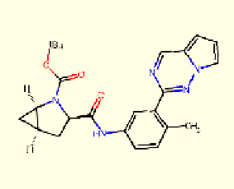 Cc1ccc(NC(=O)[C@H]2C[C@H]3C[C@H]3N2C(=O)OC(C)(C)C)cc1-c1ncc2cccn2n1